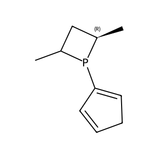 CC1C[C@@H](C)P1C1=CCC=C1